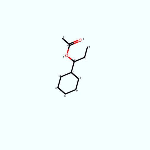 CCC(OC(C)=O)C1CCCCC1